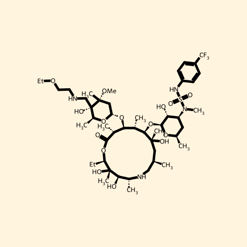 CCOCCNC[C@]1(O)[C@H](C)O[C@@H](O[C@H]2[C@H](C)[C@@H](O[C@@H]3O[C@H](C)C[C@H](N(C)S(=O)(=O)Nc4ccc(C(F)(F)F)cc4)[C@H]3O)[C@](C)(O)C[C@@H](C)CN[C@H](C)[C@@H](O)[C@](C)(O)[C@@H](CC)OC(=O)[C@@H]2C)C[C@@]1(C)OC